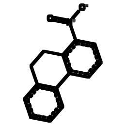 O=[N+]([O-])c1cccc2c1CCc1ccccc1-2